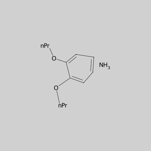 CCCOc1ccccc1OCCC.N